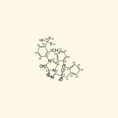 Cc1c(-n2ccn3c(S(=O)(=O)Cc4ccccc4Oc4ccccc4)nnc3c2=O)cccc1C(F)(F)F